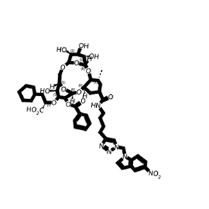 C[C@@H]1CC(C(=O)NCCCCc2cn(Cn3ccc4cc([N+](=O)[O-])ccc43)nn2)C[C@H]2O[C@@H]3O[C@@H](COC4O[C@@H](OC12)[C@@H](O)C(O)[C@@H]4O)[C@H](O)C(O[C@@H](CC1CCCCC1)C(=O)O)C3OC(=O)c1ccccc1